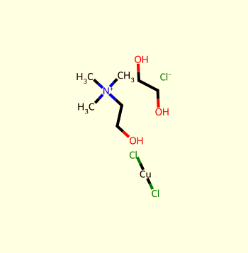 C[N+](C)(C)CCO.OCCO.[Cl-].[Cl][Cu][Cl]